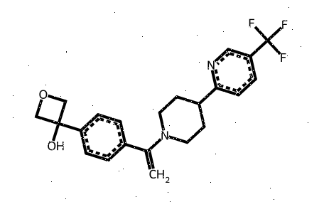 C=C(c1ccc(C2(O)COC2)cc1)N1CCC(c2ccc(C(F)(F)F)cn2)CC1